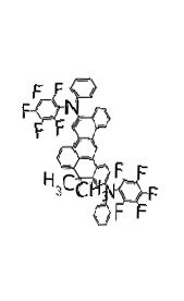 CC1(C)c2cc(N(c3ccccc3)c3c(F)c(F)c(F)c(F)c3F)ccc2-c2cc3c4ccccc4c(N(c4ccccc4)c4c(F)c(F)c(F)c(F)c4F)cc3c3cccc1c23